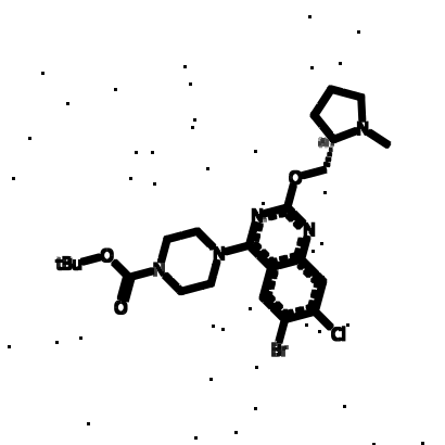 CN1CCC[C@H]1COc1nc(N2CCN(C(=O)OC(C)(C)C)CC2)c2cc(Br)c(Cl)cc2n1